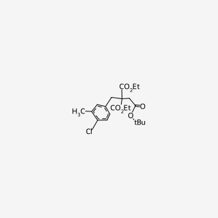 CCOC(=O)C(CC(=O)OC(C)(C)C)(Cc1ccc(Cl)c(C)c1)C(=O)OCC